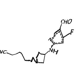 N#CCCCN1CC(Nc2cc(F)c(C=O)cn2)C1